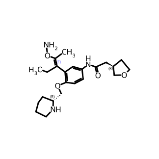 CC/C(=C(/C)ON)c1cc(NC(=O)C[C@H]2CCOC2)ccc1OC[C@H]1CCCCN1